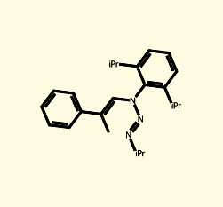 C/C(=C\N(/N=N/C(C)C)c1c(C(C)C)cccc1C(C)C)c1ccccc1